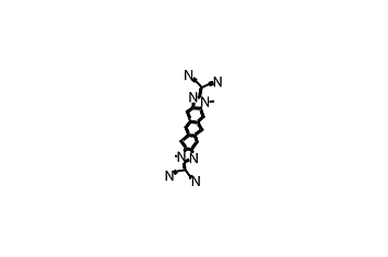 Cn1c(=C(C#N)C#N)nc2cc3cc4cc5c(cc4cc3cc21)nc(=C(C#N)C#N)n5C